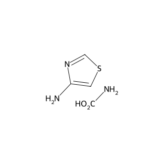 NC(=O)O.Nc1cscn1